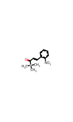 C[Si](C)(C)C(=O)C=Cc1ccccc1[N+](=O)[O-]